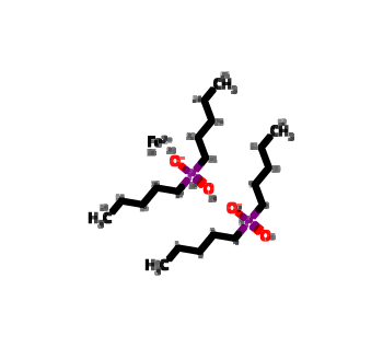 CCCCCP(=O)([O-])CCCCC.CCCCCP(=O)([O-])CCCCC.[Fe+2]